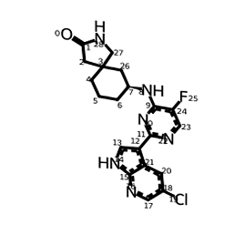 O=C1CC2(CCC[C@H](Nc3nc(-c4c[nH]c5ncc(Cl)cc45)ncc3F)C2)CN1